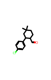 CC1(C)CCC(C=O)C(c2ccc(Cl)cc2)C1